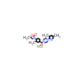 Cc1cnc(N2CCN(C(=O)c3ccc(N4C[C@@H](C)OC4=O)c(C)c3)CC2)c(C)c1.Cl